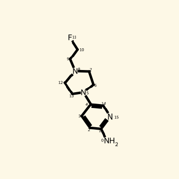 Nc1ccc(N2CCN(CCF)CC2)cn1